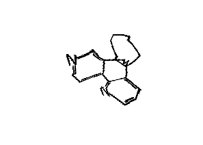 c1cnc2c(c1)C13CCCC1(CCC3)c1cnccc1-2